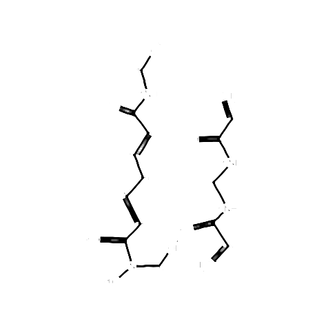 C=CC(=O)NCNC(=O)C=C.CCCCCN(CO)C(=O)C=CCC=CC(=O)NCO